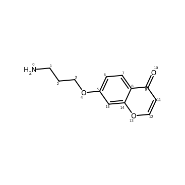 NCCCOc1ccc2c(=O)ccoc2c1